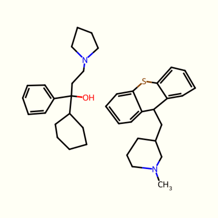 CN1CCCC(CC2c3ccccc3Sc3ccccc32)C1.OC(CCN1CCCC1)(c1ccccc1)C1CCCCC1